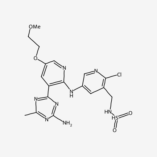 COCCOc1cnc(Nc2cnc(Cl)c(CN[SH](=O)=O)c2)c(-c2nc(C)nc(N)n2)c1